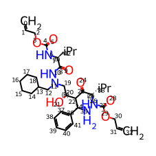 C=CCOC(=O)N[C@H](C(=O)NN(CC1CCCCC1)C[C@H](O)C(C(=O)[C@@H](NC(=O)OCC=C)C(C)C)C(N)c1ccccc1)C(C)C